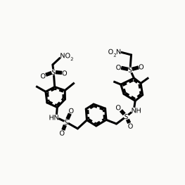 Cc1cc(NS(=O)(=O)Cc2cccc(CS(=O)(=O)Nc3cc(C)c(S(=O)(=O)C[N+](=O)[O-])c(C)c3)c2)cc(C)c1S(=O)(=O)C[N+](=O)[O-]